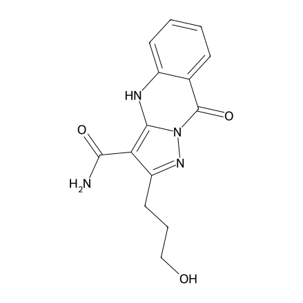 NC(=O)c1c(CCCO)nn2c(=O)c3ccccc3[nH]c12